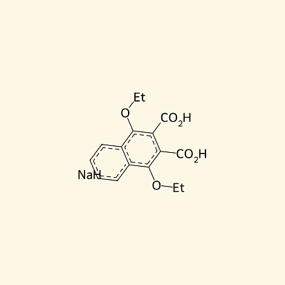 CCOc1c(C(=O)O)c(C(=O)O)c(OCC)c2ccccc12.[NaH]